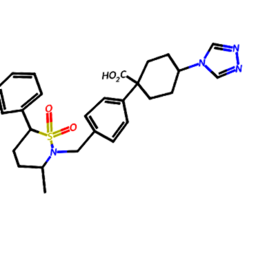 CC1CCC(c2ccccc2)S(=O)(=O)N1Cc1ccc(C2(C(=O)O)CCC(n3cnnc3)CC2)cc1